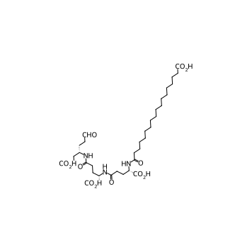 O=CCC[C@@H](CC(=O)O)NC(=O)CC[C@H](NC(=O)CC[C@H](NC(=O)CCCCCCCCCCCCCCCCC(=O)O)C(=O)O)C(=O)O